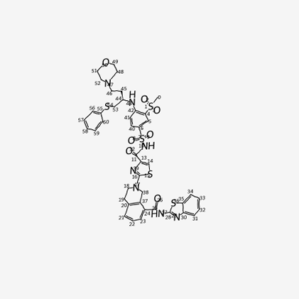 CS(=O)(=O)c1cc(S(=O)(=O)NC(=O)c2csc(N3CCc4cccc(C(=O)Nc5nc6ccccc6s5)c4C3)n2)ccc1N[C@H](CCN1CCOCC1)CSc1ccccc1